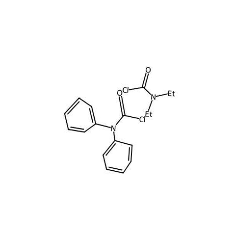 CCN(CC)C(=O)Cl.O=C(Cl)N(c1ccccc1)c1ccccc1